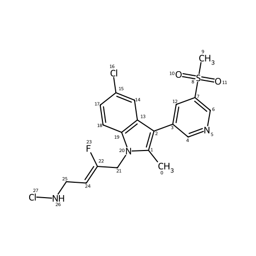 Cc1c(-c2cncc(S(C)(=O)=O)c2)c2cc(Cl)ccc2n1C/C(F)=C/CNCl